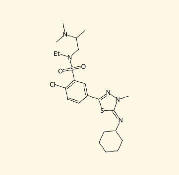 CCN(CC(C)N(C)C)S(=O)(=O)c1cc(-c2nn(C)c(=NC3CCCCC3)s2)ccc1Cl